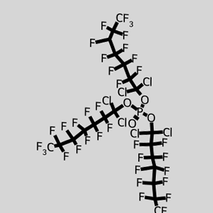 O=P(OC(Cl)(Cl)C(F)(F)C(F)(F)C(F)(F)C(F)C(F)(F)C(F)(F)F)(OC(Cl)(Cl)C(F)(F)C(F)(F)C(F)(F)C(F)(F)C(F)(F)C(F)(F)F)OC(Cl)(Cl)C(F)(F)C(F)(F)C(F)(F)C(F)(F)C(F)(F)C(F)(F)F